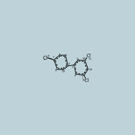 Clc1[c]c(-c2ccc(Cl)cc2)cc(Cl)c1